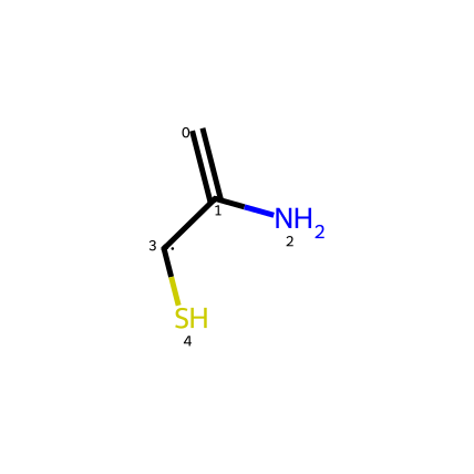 C=C(N)[CH]S